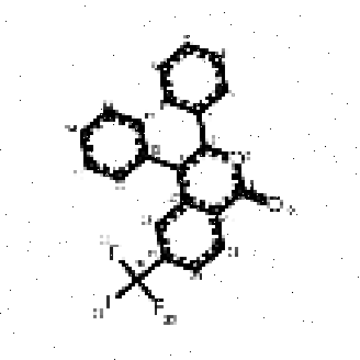 O=c1oc(-c2ccccc2)c(-c2ccccc2)c2cc(C(F)(F)F)ccc12